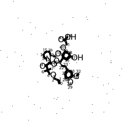 C=CCOCC(C)(C)C(=O)C(=O)N1CCCC[C@H]1C(=O)O[C@H](CCc1ccc(OC)c(OC)c1)c1cc(O)cc(OCC(=O)O)c1